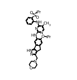 Cc1cnc(Nc2cc3c(cc2OC(C)C)Cc2c(CN4CCOCC4)n[nH]c2-3)nc1Nc1ccccc1S(=O)(=O)C(C)C